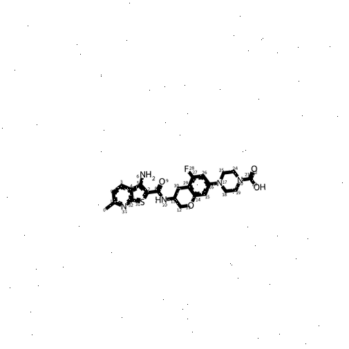 Cc1ccc2c(N)c(C(=O)NC3COc4cc(N5CCN(C(=O)O)CC5)cc(F)c4C3)sc2n1